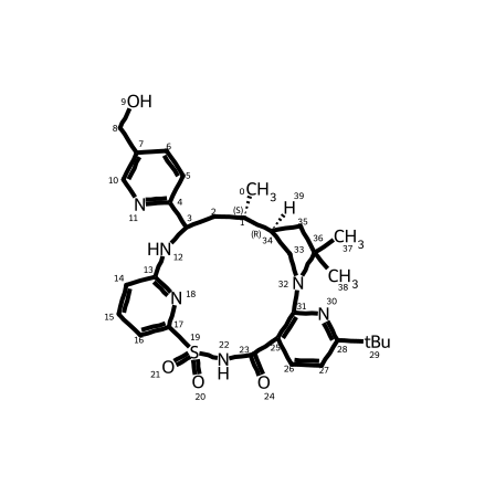 C[C@H]1CC(c2ccc(CO)cn2)Nc2cccc(n2)S(=O)(=O)NC(=O)c2ccc(C(C)(C)C)nc2N2C[C@@H]1CC2(C)C